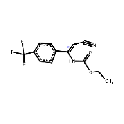 CCOC(=O)N/C(=C\C#N)c1ccc(C(F)(F)F)cc1